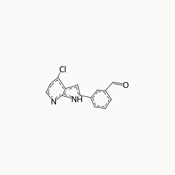 O=Cc1cccc(-c2cc3c(Cl)ccnc3[nH]2)c1